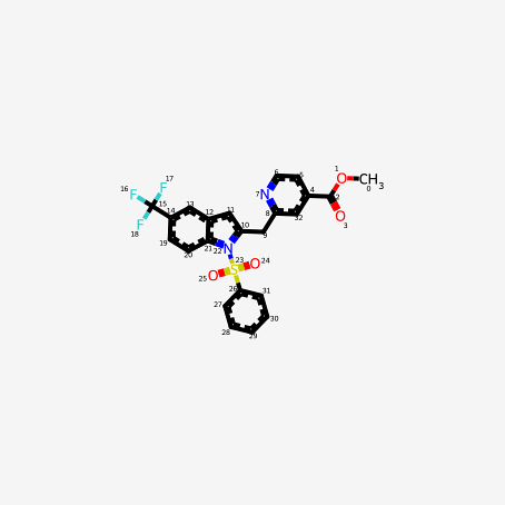 COC(=O)c1ccnc(Cc2cc3cc(C(F)(F)F)ccc3n2S(=O)(=O)c2ccccc2)c1